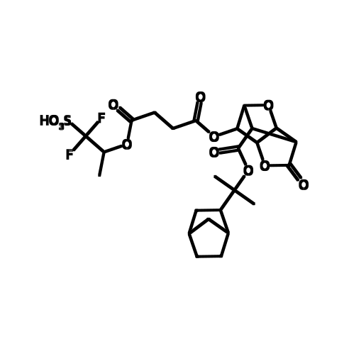 CC(OC(=O)CCC(=O)OC1C2OC(=O)C3C2OC1C3C(=O)OC(C)(C)C1CC2CCC1C2)C(F)(F)S(=O)(=O)O